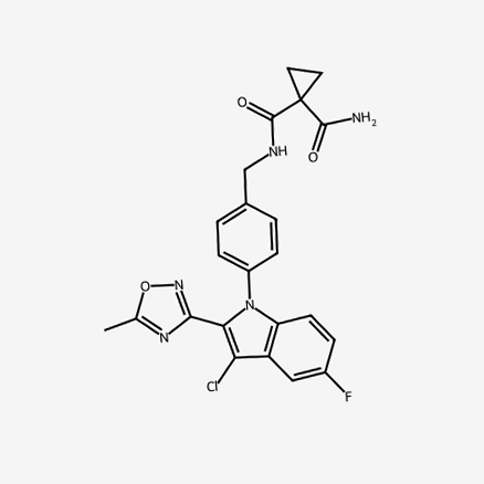 Cc1nc(-c2c(Cl)c3cc(F)ccc3n2-c2ccc(CNC(=O)C3(C(N)=O)CC3)cc2)no1